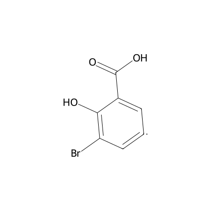 O=C(O)c1c[c]cc(Br)c1O